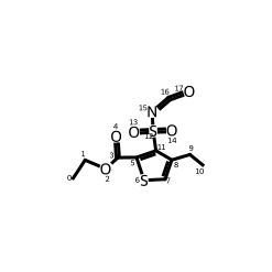 CCOC(=O)c1scc(CC)c1S(=O)(=O)N=C=O